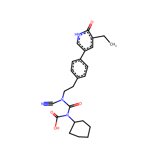 CCc1cc(-c2ccc(CCN(C#N)C(=O)N(C(=O)O)C3CCCCC3)cc2)c[nH]c1=O